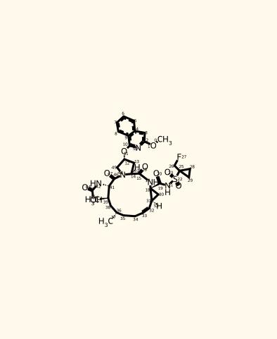 COc1cc2ccccc2c(O[C@@H]2C[C@H]3C(=O)N[C@]4(C(=O)NS(=O)(=O)C5(CF)CC5)C[C@H]4/C=C\CC[C@H](C)C[C@@H](C)[C@H](NC(=O)O)C(=O)N3C2)n1